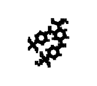 CS(=O)(=O)c1ccc(Nc2nc(Nc3ccc(S(N)(=O)=O)cc3)ncc2C(N)=O)cc1